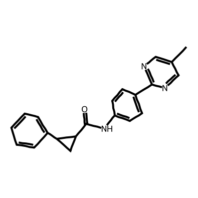 Cc1cnc(-c2ccc(NC(=O)C3CC3c3ccccc3)cc2)nc1